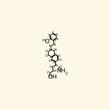 COc1ccccc1CC[C@@H]1CCc2cc([C@H](CN)CCCO)ccc2C1